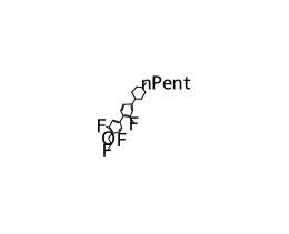 CCCCCC1CCC(c2ccc(-c3cc(F)c(OCF)c(F)c3)c(F)c2)CC1